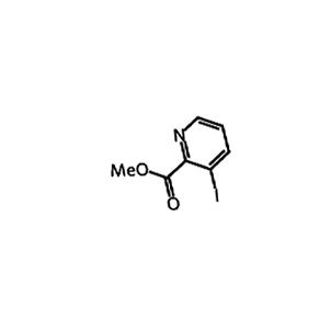 COC(=O)c1ncccc1I